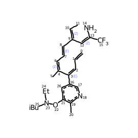 C=C\C=C(/C(C)=C\C=C\C(=C\C)\C=C(/N)C(F)(F)F)c1cnc(C)c(ON(CC)C(C)CC)c1